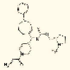 C=CC(=O)N1C=CN(c2nc(OC[C@@H]3CCCN3C)nc3c2CCCN(c2ccccc2)C3)CC1